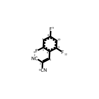 N#CC(C#N)=Cc1c(F)cc(F)cc1F